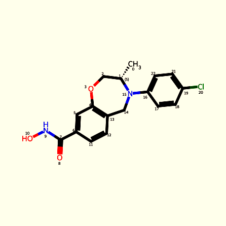 C[C@H]1COc2cc(C(=O)NO)ccc2CN1c1ccc(Cl)cc1